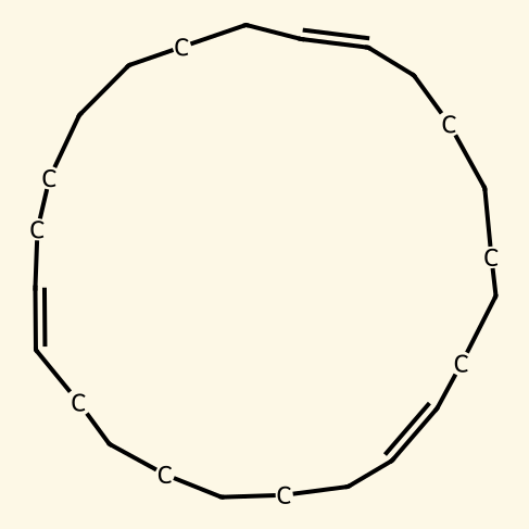 C1=CCCCCCCC=CCCCCCCC=CCCCCCC1